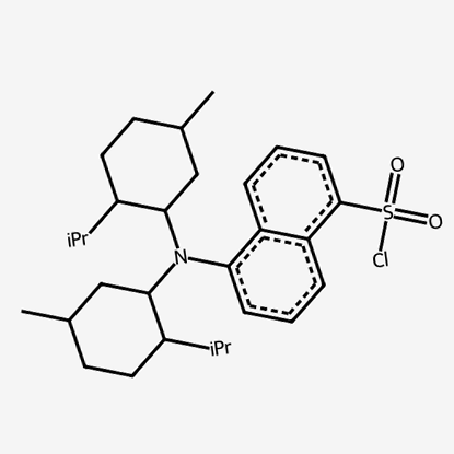 CC1CCC(C(C)C)C(N(c2cccc3c(S(=O)(=O)Cl)cccc23)C2CC(C)CCC2C(C)C)C1